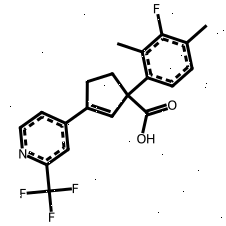 Cc1ccc(C2(C(=O)O)C=C(c3ccnc(C(F)(F)F)c3)CC2)c(C)c1F